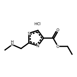 CCOC(=O)c1csc(CNC)n1.Cl